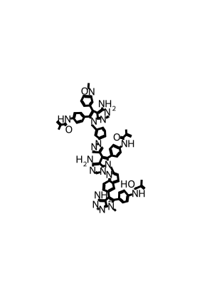 C=C(C)C(=O)Nc1ccc(-c2c(-c3ccc4oc(C)nc4c3)c3c(N)ncnc3n2Cc2cccc(-n3cc(-c4c(-c5ccc(NC(=O)C(=C)C)cc5)n(Cc5ccc6cc(-c7c(-c8ccc(NC(O)C(=C)C)cc8)n(C)c8ncnc(N)c78)ccc6n5)c5ncnc(N)c45)cn3)c2)cc1